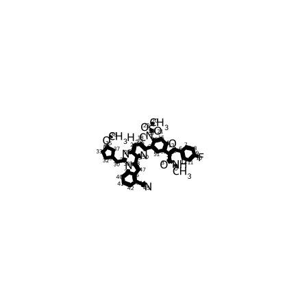 CNC(=O)c1c(-c2ccc(F)cc2)oc2cc(N(C)S(C)(=O)=O)c(-c3ccc4nc(CC5CC[C@@H](OC)C5)n5c6cccc(C#N)c6cc5c4n3)cc12